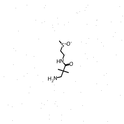 C[S+]([O-])CCNC(=O)C(C)(C)CN